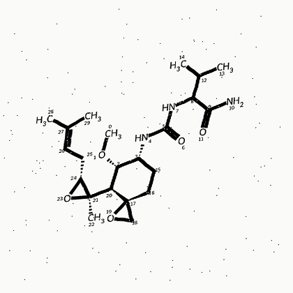 CO[C@@H]1[C@H](NC(=O)NC(C(N)=O)C(C)C)CC[C@]2(CO2)[C@H]1[C@@]1(C)O[C@@H]1CC=C(C)C